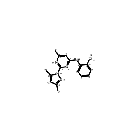 Cc1cc(Nc2ccccc2C(F)(F)F)nc(-n2nc(C)cc2C)n1